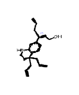 C=CC/C(=C/CO)c1ccc2c(c1)NCCC2(CC=C)CC=C